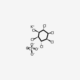 Cl[C@H]1[C@H](Cl)[C@@H](Cl)[C@@H](Cl)[C@H](Cl)[C@H]1Cl.[K+].[O-][Cl+3]([O-])([O-])[O-]